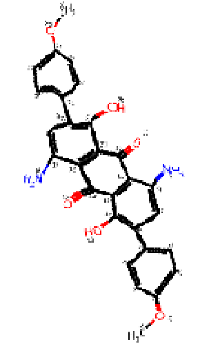 COc1ccc(-c2cc(N)c3c(c2O)C(=O)c2c(N)cc(-c4ccc(OC)cc4)c(O)c2C3=O)cc1